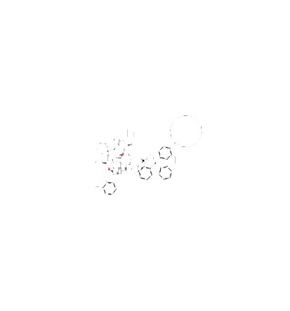 CC(C)[C@@H](C(=O)N(C)[C@@H](CC(=O)OC(c1ccccc1)(c1ccc(C2CCCCCCCCCCCCC2)cc1)c1ccccc1Cl)C(=O)N1CCCCC1)N(C)C(=O)C1(NC(=O)[C@@H](N)Cc2ccccc2Cl)CCCC1